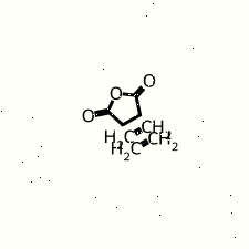 C=C.C=C.O=C1CCC(=O)O1